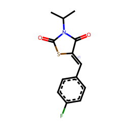 CC(C)N1C(=O)S/C(=C\c2ccc(F)cc2)C1=O